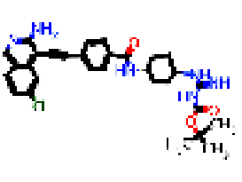 CC(C)(C)OC(=O)NC(=N)N[C@H]1CC[C@H](NC(=O)c2ccc(C#Cc3c(N)ncc4ccc(Cl)cc34)cc2)CC1